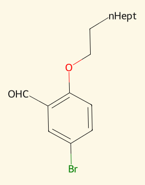 CCCCCCCCCOc1ccc(Br)cc1C=O